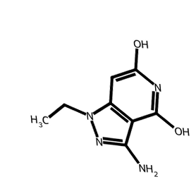 CCn1nc(N)c2c(O)nc(O)cc21